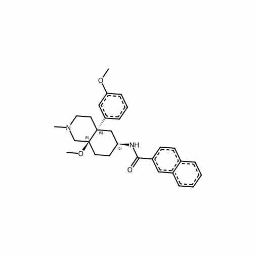 COc1cccc([C@@]23CCN(C)C[C@@]2(OC)CC[C@H](NC(=O)c2ccc4ccccc4c2)C3)c1